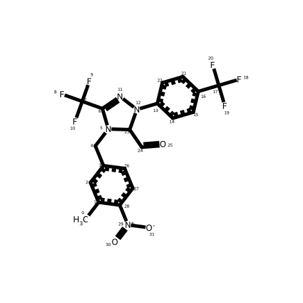 Cc1cc(CN2C(C(F)(F)F)=NN(c3ccc(C(F)(F)F)cc3)C2C=O)ccc1[N+](=O)[O-]